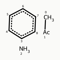 CC(C)=O.N.c1ccccc1